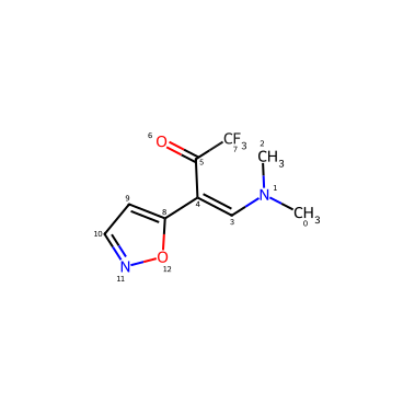 CN(C)C=C(C(=O)C(F)(F)F)c1ccno1